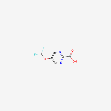 O=C(O)c1ncc(OC(F)F)cn1